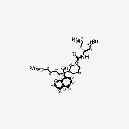 CNC[C@H](CC(C)(C)C)NC(=O)N1CCC[C@@H]([C@@](O)(CCCCOC)c2cccc3ccoc23)C1